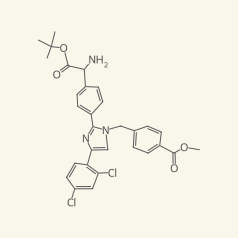 COC(=O)c1ccc(Cn2cc(-c3ccc(Cl)cc3Cl)nc2-c2ccc(C(N)C(=O)OC(C)(C)C)cc2)cc1